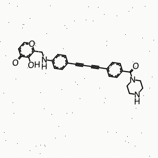 O=C(c1ccc(C#CC#Cc2ccc(NCc3occc(=O)c3O)cc2)cc1)N1CCNCC1